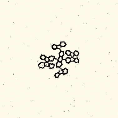 C1=CC2=C(CC1)c1ccccc1C21c2ccccc2-c2ccc(-c3c4ccc(-n5c6ccccc6c6ccccc65)cc4c(-c4ccc5c(c4)C4(c6ccccc6-c6ccccc64)c4ccccc4-5)c4ccc(-n5c6ccccc6c6ccccc65)cc34)cc21